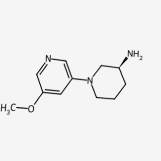 COc1cncc(N2CCC[C@H](N)C2)c1